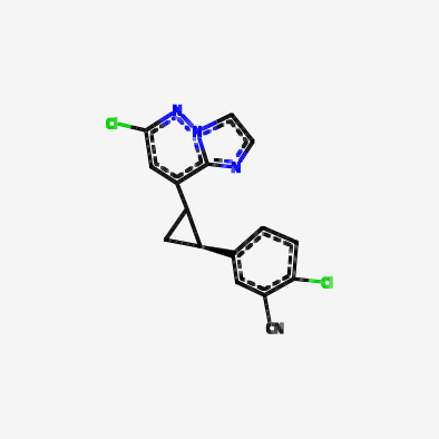 N#Cc1cc([C@H]2CC2c2cc(Cl)nn3ccnc23)ccc1Cl